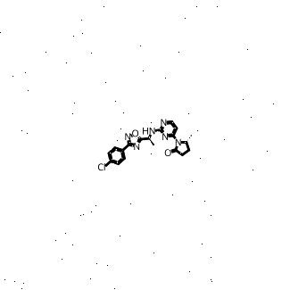 C[C@H](Nc1nccc(N2C(=O)CC[C@H]2C)n1)c1nc(-c2ccc(Cl)cc2)no1